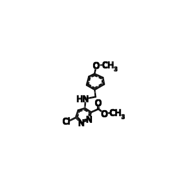 COC(=O)c1nnc(Cl)cc1NCc1ccc(OC)cc1